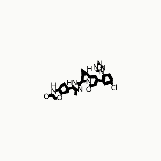 Cc1nc(C2C3C[C@@H]3c3cc(-c4cc(Cl)ccc4-n4cnnn4)cc(=O)n32)[nH]c1-c1ccc2c(c1)OCC(=O)N2